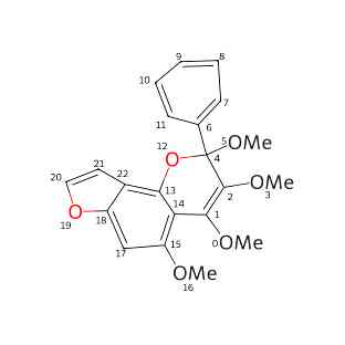 COC1=C(OC)C(OC)(c2ccccc2)Oc2c1c(OC)cc1occc21